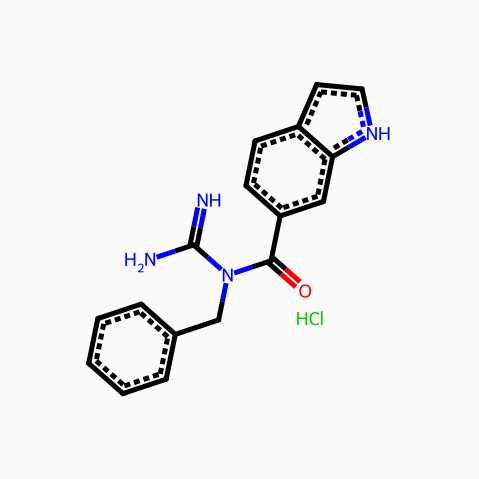 Cl.N=C(N)N(Cc1ccccc1)C(=O)c1ccc2cc[nH]c2c1